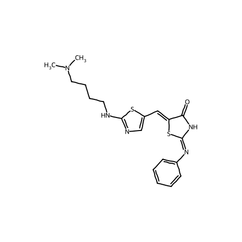 CN(C)CCCCNc1ncc(/C=C2\S/C(=N\c3ccccc3)NC2=O)s1